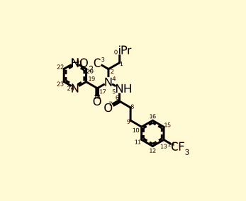 CC(C)CC(C(=O)O)N(NC(=O)CCc1ccc(C(F)(F)F)cc1)C(=O)c1cnccn1